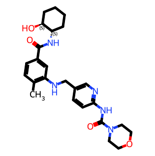 Cc1ccc(C(=O)N[C@H]2CCCC[C@@H]2O)cc1NCc1ccc(NC(=O)N2CCOCC2)nc1